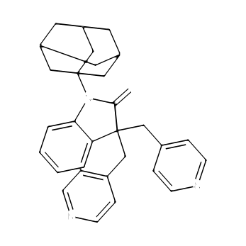 O=C1N(C23CC4CC(CC(C4)C2)C3)c2ccccc2C1(Cc1ccncc1)Cc1ccncc1